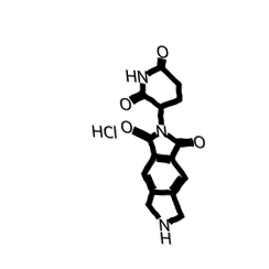 Cl.O=C1CCC(N2C(=O)c3cc4c(cc3C2=O)CNC4)C(=O)N1